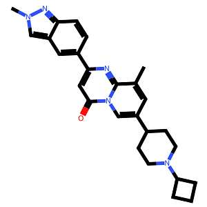 Cc1cc(C2CCN(C3CCC3)CC2)cn2c(=O)cc(-c3ccc4nn(C)cc4c3)nc12